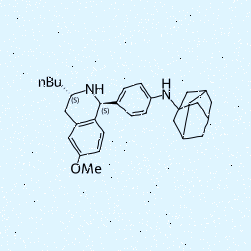 CCCC[C@H]1Cc2cc(OC)ccc2[C@H](c2ccc(NC34CC5CC(CC(C5)C3)C4)cc2)N1